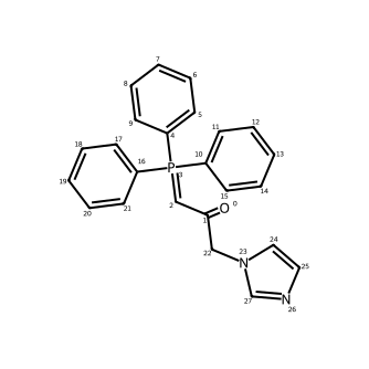 O=C(C=P(c1ccccc1)(c1ccccc1)c1ccccc1)Cn1ccnc1